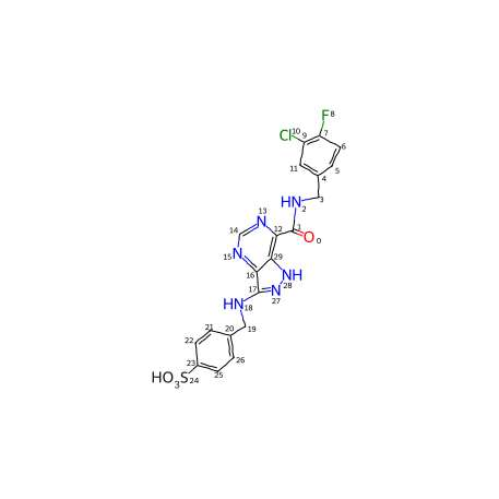 O=C(NCc1ccc(F)c(Cl)c1)c1ncnc2c(NCc3ccc(S(=O)(=O)O)cc3)n[nH]c12